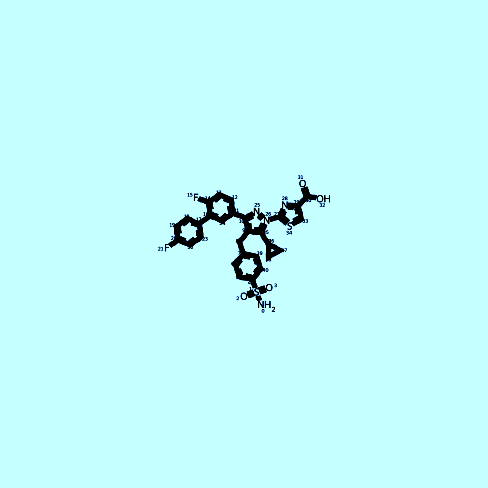 NS(=O)(=O)c1ccc(Cc2c(-c3ccc(F)c(-c4ccc(F)cc4)c3)nn(-c3nc(C(=O)O)cs3)c2C2CC2)cc1